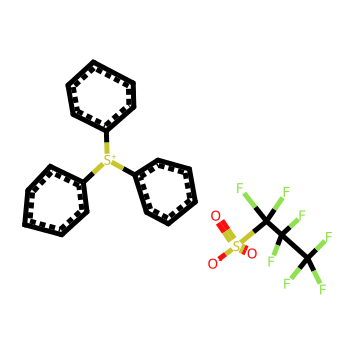 O=S(=O)([O-])C(F)(F)C(F)(F)C(F)(F)F.c1ccc([S+](c2ccccc2)c2ccccc2)cc1